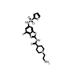 NCCN1CCC(C(=O)Nc2nc3c(F)cc(NS(=O)(=O)c4cccs4)cc3s2)CC1